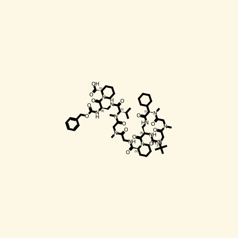 CC(C)[C@@H](C(=O)NC[C@@H](NC(=O)OCc1ccccc1)C(=O)N1CCCC[C@H]1C(=O)O)N(C)C(=O)CN(C)C(=O)CNC(=O)[C@@H]1CCCCN1C(=O)[C@@H](CNC(=O)[C@H](C1CCCCC1)N(C)C(=O)CN(C)C(=O)CN)NC(=O)OC(C)(C)C